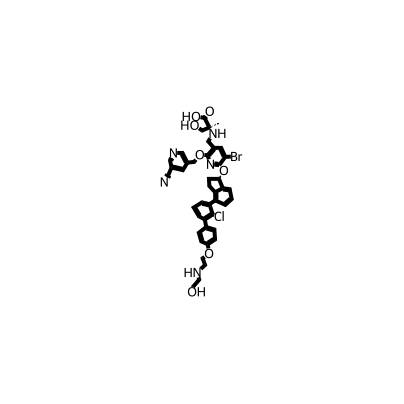 C[C@@](CO)(NCc1cc(Br)c(O[C@H]2CCc3c(-c4cccc(-c5ccc(OCCNCCO)cc5)c4Cl)cccc32)nc1OCc1cncc(C#N)c1)C(=O)O